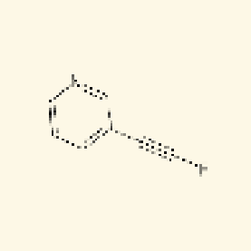 FC#Cc1cc[c]nc1